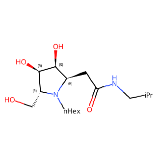 CCCCCCN1[C@H](CC(=O)NCC(C)C)[C@H](O)[C@H](O)[C@H]1CO